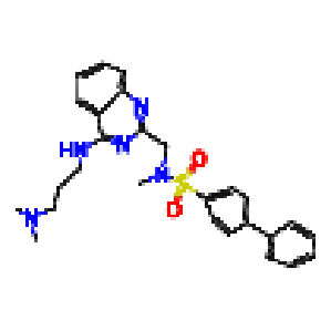 CN(C)CCCNc1nc(CN(C)S(=O)(=O)c2ccc(-c3ccccc3)cc2)nc2ccccc12